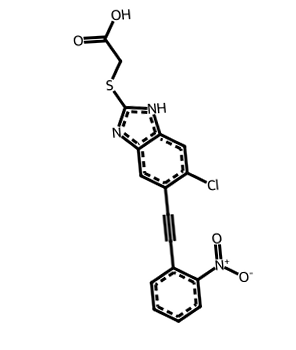 O=C(O)CSc1nc2cc(C#Cc3ccccc3[N+](=O)[O-])c(Cl)cc2[nH]1